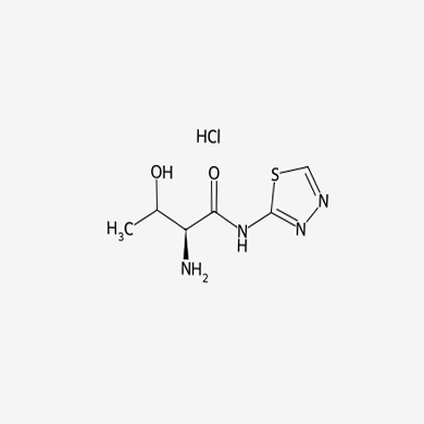 CC(O)[C@H](N)C(=O)Nc1nncs1.Cl